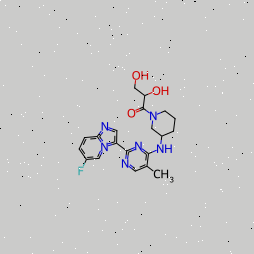 Cc1cnc(-c2cnc3ccc(F)cn23)nc1NC1CCCN(C(=O)C(O)CO)C1